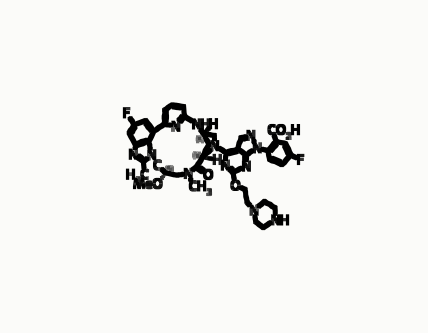 CO[C@H]1CN(C)C(=O)[C@@H]2C[C@@H](CN2c2nc(OCCN3CCNCC3)nc3c2cnn3-c2ccc(F)cc2C(=O)O)Nc2cccc(n2)-c2cc(F)cc3nc(C)n(c23)C1